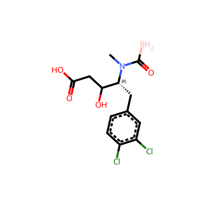 BC(=O)N(C)[C@H](Cc1ccc(Cl)c(Cl)c1)C(O)CC(=O)O